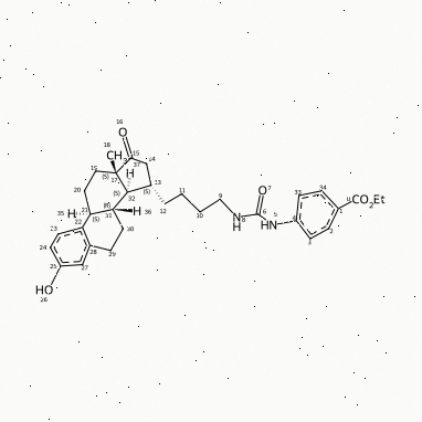 CCOC(=O)c1ccc(NC(=O)NCCCC[C@H]2CC(=O)[C@@]3(C)CC[C@@H]4c5ccc(O)cc5CC[C@H]4[C@H]23)cc1